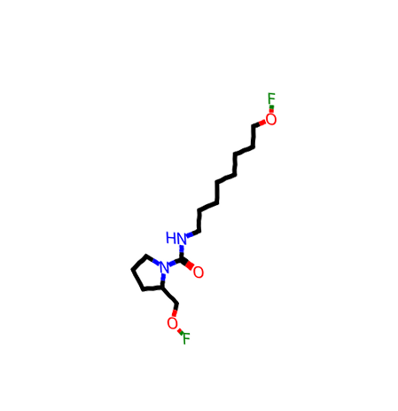 O=C(NCCCCCCCCOF)N1CCCC1COF